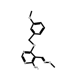 CON=Cc1c(N)ncnc1OCc1cccc(OC)c1